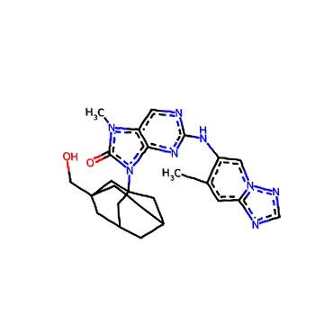 Cc1cc2ncnn2cc1Nc1ncc2c(n1)n(C13CC4CC(CC(CO)(C4)C1)C3)c(=O)n2C